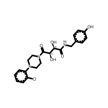 O=C(NCc1ccc(O)cc1)[C@H](O)[C@@H](O)C(=O)N1CCN(c2ccccc2Cl)CC1